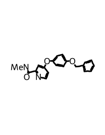 CNC(=O)c1cc(Oc2ccc(OCc3ccccc3)cc2)ccn1